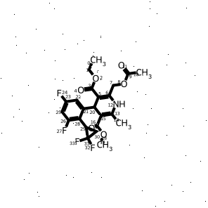 CCOC(=O)C1=C(COC(C)=O)NC(C)=C(C(=O)OC)C1c1cc(F)cc(F)c1C1CC1(F)F